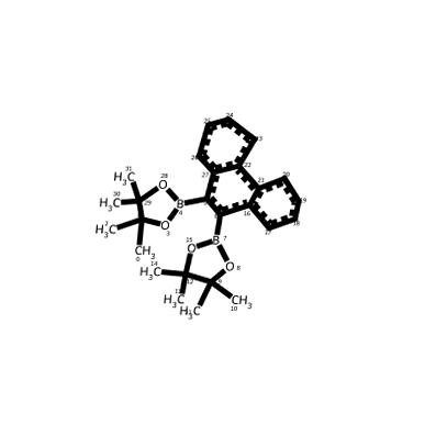 CC1(C)OB(c2c(B3OC(C)(C)C(C)(C)O3)c3ccccc3c3ccccc23)OC1(C)C